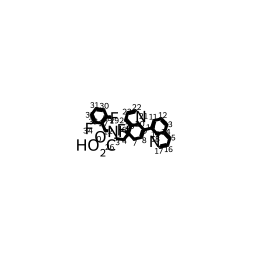 O=C(NC(CC1(F)CC=C(c2cccc3cccnc23)c2ncccc21)C(=O)O)c1c(F)cccc1F